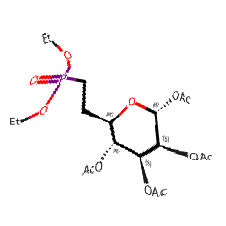 CCOP(=O)(CC[C@H]1O[C@H](OC(C)=O)[C@@H](OC(C)=O)[C@@H](OC(C)=O)[C@@H]1OC(C)=O)OCC